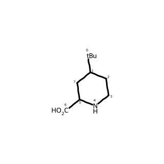 CC(C)(C)C1CCNC(C(=O)O)C1